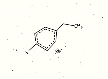 CCc1ccc([S-])cc1.[Rb+]